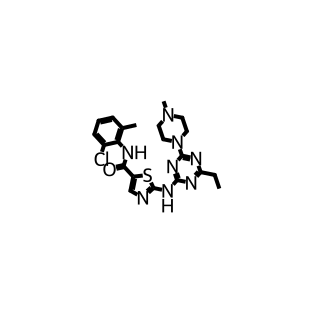 CCc1nc(Nc2ncc(C(=O)Nc3c(C)cccc3Cl)s2)nc(N2CCN(C)CC2)n1